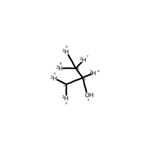 [2H]C([2H])C([2H])(O)C([2H])([2H])[2H]